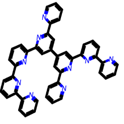 c1ccc(-c2cccc(-c3cc(-c4cc(-c5ccccn5)nc(-c5cccc(-c6cccc(-c7ccccn7)n6)n5)c4)cc(-c4ccccn4)n3)n2)nc1